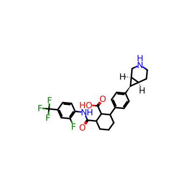 O=C(Nc1ccc(C(F)(F)F)cc1F)C1CCCC(c2ccc([C@@H]3[C@@H]4CCNC[C@@H]43)cc2)C1C(=O)O